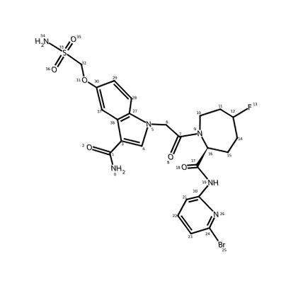 NC(=O)c1cn(CC(=O)N2CCC(F)CC[C@H]2C(=O)Nc2cccc(Br)n2)c2ccc(OCS(N)(=O)=O)cc12